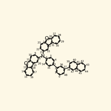 c1cc(-c2ccc(N(c3ccc4oc5ccccc5c4c3)c3ccc4oc5ccccc5c4c3)cc2)cc(-c2ccc3ccccc3c2)c1